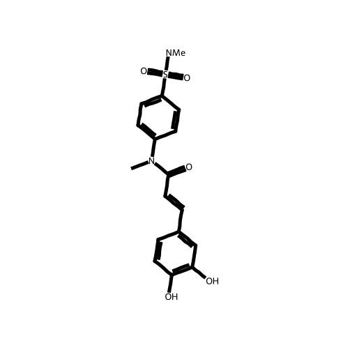 CNS(=O)(=O)c1ccc(N(C)C(=O)/C=C/c2ccc(O)c(O)c2)cc1